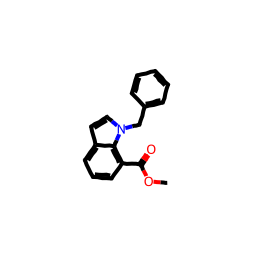 COC(=O)c1cccc2ccn(Cc3ccccc3)c12